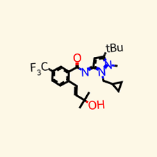 Cn1c(C(C)(C)C)cc(=NC(=O)c2cc(C(F)(F)F)ccc2C=CC(C)(C)O)n1CC1CC1